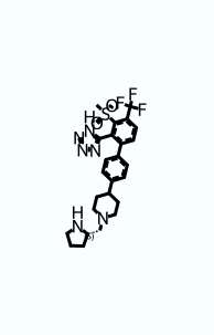 CS(=O)(=O)c1c(C(F)(F)F)ccc(-c2ccc(C3CCN(C[C@@H]4CCCN4)CC3)cc2)c1-c1nnn[nH]1